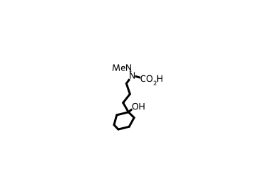 CNN(CCCC1(O)CCCCC1)C(=O)O